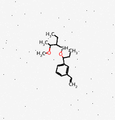 C=Cc1cccc(C(CC)O[SiH2]C(CC)C(C)OC)c1